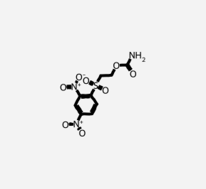 NC(=O)OCCS(=O)(=O)c1ccc([N+](=O)[O-])cc1[N+](=O)[O-]